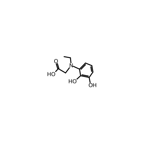 CCN(CC(=O)O)c1cccc(O)c1O